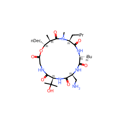 CCCCCCCCCC[C@H]1OC(=O)CNC(=O)[C@H](C(C)(C)O)NC(=O)[C@H](CN)NC(=O)[C@H]([C@@H](C)CC)NC(=O)[C@H](CC(C)C)N(C)C(=O)[C@@H]1C